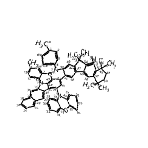 Cc1ccc(N2B3c4cc(C)ccc4-n4c5cc6ccccc6cc5c5c(N6c7ccccc7Oc7ccccc76)cc(c3c54)-c3cc4c(cc32)C(C)(C)c2cc3c(cc2-4)C(C)(C)CCC3(C)C)cc1